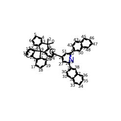 CC1(C)c2ccccc2C2(c3ccccc3-c3ccccc32)c2ccc(-c3cc(-c4ccc5ccccc5c4)nc(-c4ccc5ccccc5c4)c3)cc21